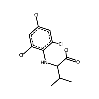 CC(C)C(Nc1c(Cl)cc(Cl)cc1Cl)C(=O)Cl